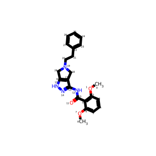 COc1cccc(OC)c1C(=O)Nc1n[nH]c2c1CN(CCc1ccccc1)C2